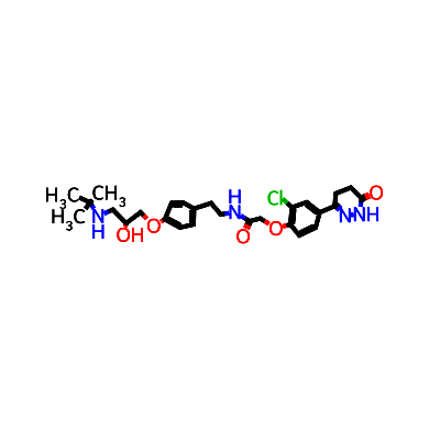 CC(C)(C)NCC(O)COc1ccc(CCNC(=O)COc2ccc(C3=NNC(=O)CC3)cc2Cl)cc1